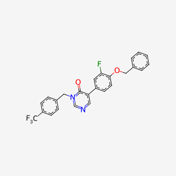 O=c1c(-c2ccc(OCc3ccccc3)c(F)c2)cncn1Cc1ccc(C(F)(F)F)cc1